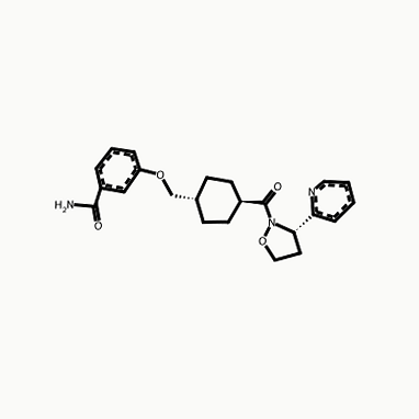 NC(=O)c1cccc(OC[C@H]2CC[C@H](C(=O)N3OCC[C@H]3c3ccccn3)CC2)c1